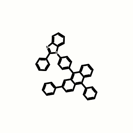 c1ccc(-c2ccc3c(-c4ccccc4)c4ccccc4c(-c4ccc(-n5c(-c6ccccc6)nc6ccccc65)cc4)c3c2)cc1